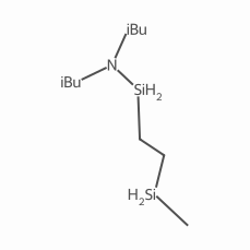 CCC(C)N([SiH2]CC[SiH2]C)C(C)CC